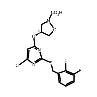 O=C(O)N1C[C@H](Oc2cc(Cl)nc(SCc3cccc(F)c3F)n2)CO1